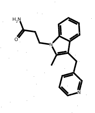 Cc1c(Cc2cccnc2)c2ccccc2n1CCC(N)=O